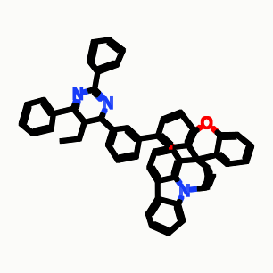 CCC1C(c2ccccc2)=NC(c2ccccc2)=NC1c1cccc(-c2ccc3c(c2)C2(c4ccccc4O3)c3ccccc3-n3c4ccccc4c4cccc2c43)c1